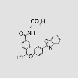 CC(C)C(Oc1ccc(-c2nc3ccccc3o2)cc1)c1ccc(C(=O)NCCC(=O)O)cc1